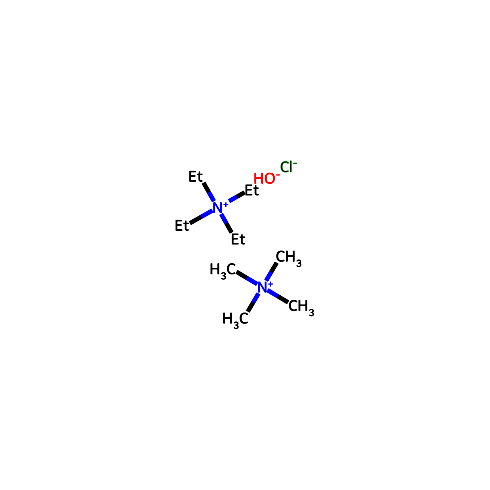 CC[N+](CC)(CC)CC.C[N+](C)(C)C.[Cl-].[OH-]